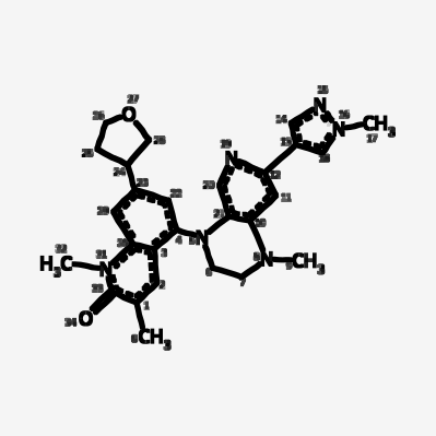 Cc1cc2c(N3CCN(C)c4cc(-c5cnn(C)c5)ncc43)cc(C3CCOC3)cc2n(C)c1=O